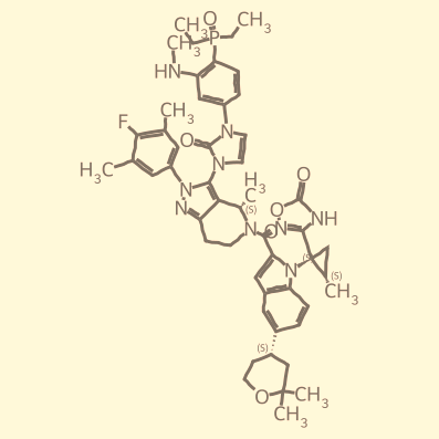 CCP(=O)(CC)c1ccc(-n2ccn(-c3c4c(nn3-c3cc(C)c(F)c(C)c3)CCN(C(=O)c3cc5cc([C@H]6CCOC(C)(C)C6)ccc5n3[C@@]3(c5noc(=O)[nH]5)C[C@@H]3C)[C@H]4C)c2=O)cc1NC